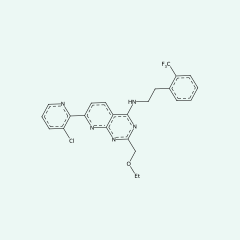 CCOCc1nc(NCCc2ccccc2C(F)(F)F)c2ccc(-c3ncccc3Cl)nc2n1